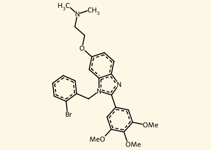 COc1cc(-c2nc3ccc(OCCN(C)C)cc3n2Cc2ccccc2Br)cc(OC)c1OC